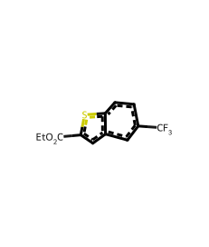 CCOC(=O)c1cc2cc(C(F)(F)F)ccc2s1